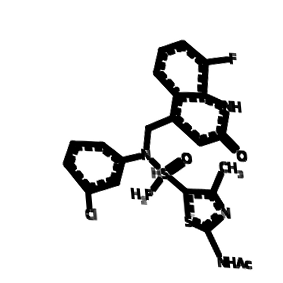 CC(=O)Nc1nc(C)c([SH](=O)(P)N(Cc2cc(=O)[nH]c3c(F)cccc23)c2cccc(Cl)c2)s1